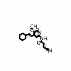 COc1cnc(NC(=O)/C=C/C#N)cc1/C=C/C1CCCCC1